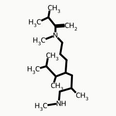 C=C(C(C)C)N(C)CCCC(CC(C)CNC)C(C)C(C)C